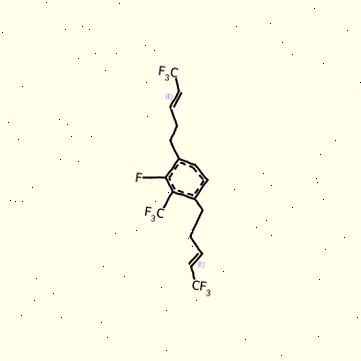 Fc1c(CC/C=C/C(F)(F)F)ccc(CC/C=C/C(F)(F)F)c1C(F)(F)F